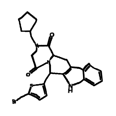 O=C1C2Cc3c([nH]c4ccccc34)C(c3ccc(Br)s3)N2C(=O)CN1C1CCCC1